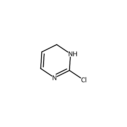 ClC1=NC=CCN1